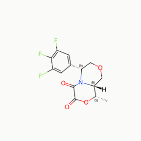 C[C@@H]1OC(=O)C(=O)N2[C@@H]1COC[C@H]2c1cc(F)c(F)c(F)c1